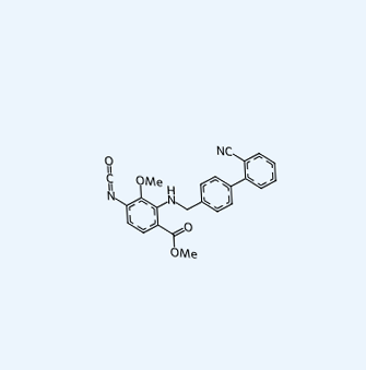 COC(=O)c1ccc(N=C=O)c(OC)c1NCc1ccc(-c2ccccc2C#N)cc1